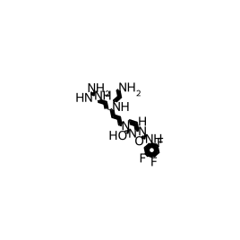 N=C(N)NCCC[C@@H](CCCN1C=CC(NC(=O)Nc2cc(F)c(F)cc2F)=NC1O)NCCCN